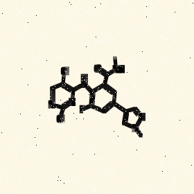 CNC(=O)c1cc(-c2cnn(C)c2)cc(F)c1Nc1nc(Cl)ncc1Cl